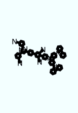 N#Cc1cccc(-c2cc(-c3ccc(-c4cc(C#N)c(-c5ccc(-n6c7ccc(-n8c9ccccc9c9ccccc98)cc7c7cc(-n8c9ccccc9c9ccccc98)ccc76)cc5)c(C#N)c4)cc3)nc(-c3cccc(C#N)c3)n2)c1